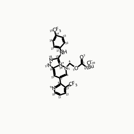 CC(C)(C)C(=O)OCn1cc(-c2ncccc2C(F)(F)F)cc2nnc(Nc3ccc(C(F)(F)F)cc3)[n+]1-2.[Cl-]